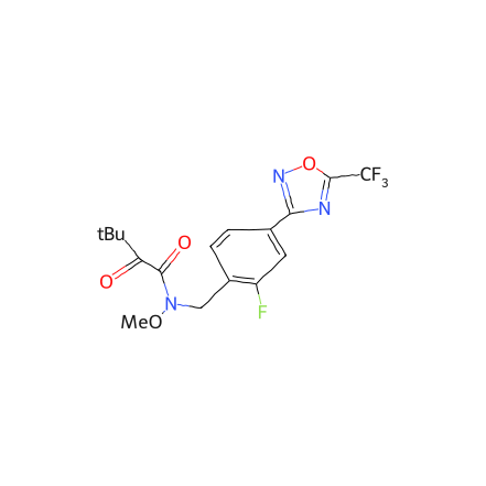 CON(Cc1ccc(-c2noc(C(F)(F)F)n2)cc1F)C(=O)C(=O)C(C)(C)C